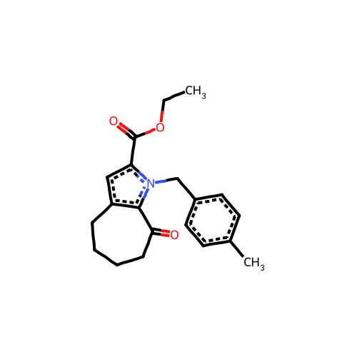 CCOC(=O)c1cc2c(n1Cc1ccc(C)cc1)C(=O)CCCC2